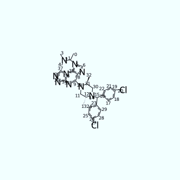 CC(N(C)C)n1cnc2c(N3C[C@@H](C)N(C(c4ccc(Cl)cc4)c4ccc(Cl)cc4)C[C@@H]3C)nc3nncn3c21